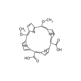 COc1c2nc(c(OC)c3ccc([nH]3)c(C(=O)O)c3nc(c(C(=O)O)c4ccc1[nH]4)C=C3)C=C2